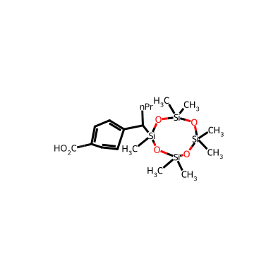 CCCC(c1ccc(C(=O)O)cc1)[Si]1(C)O[Si](C)(C)O[Si](C)(C)O[Si](C)(C)O1